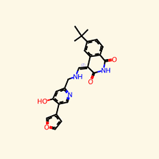 CC(C)(C)c1ccc2c(c1)/C(=C/NCc1cc(O)c(-c3ccoc3)cn1)C(=O)NC2=O